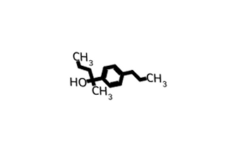 CCCc1ccc(C(C)(O)CCC)cc1